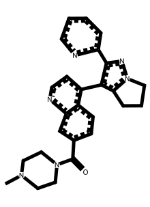 CN1CCN(C(=O)c2ccc3c(-c4c(-c5ccccn5)nn5c4CCC5)ccnc3c2)CC1